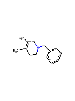 CC1=C([N+](=O)[O-])CN(Cc2ccccc2)CC1